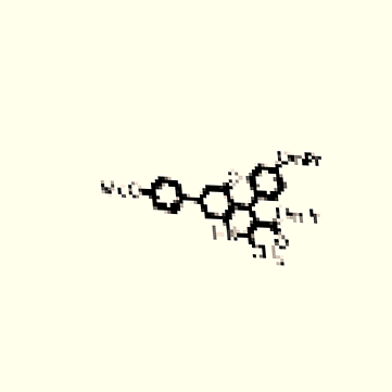 CCCOC(=O)C1=C(C)NC2=C(C(=O)CC(c3ccc(OC)cc3)C2)C1c1ccc(OCCC)cc1